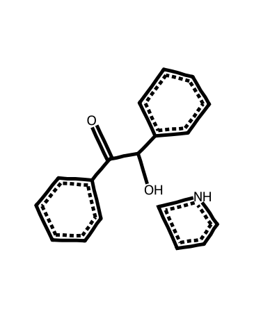 O=C(c1ccccc1)C(O)c1ccccc1.c1cc[nH]c1